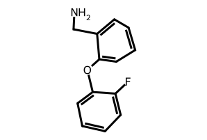 NCc1ccccc1Oc1ccccc1F